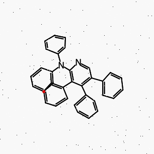 c1ccc(-c2cnc(N(c3ccccc3)c3ccccc3)c(-c3ccccc3)c2-c2ccccc2)cc1